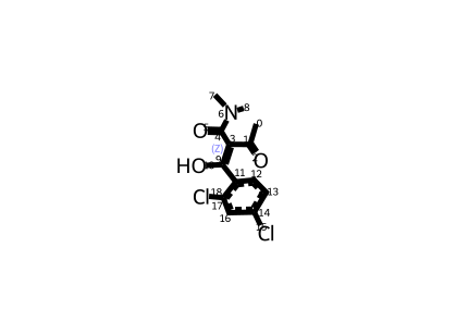 CC(=O)/C(C(=O)N(C)C)=C(/O)c1ccc(Cl)cc1Cl